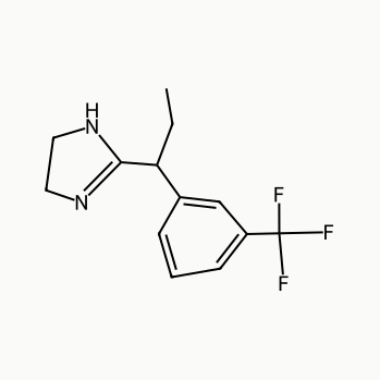 CCC(C1=NCCN1)c1cccc(C(F)(F)F)c1